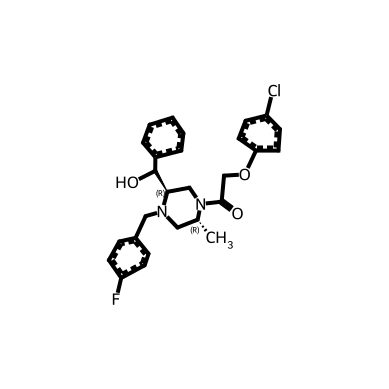 C[C@@H]1CN(Cc2ccc(F)cc2)[C@@H](C(O)c2ccccc2)CN1C(=O)COc1ccc(Cl)cc1